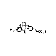 Cc1ccc2c(c1)[C@@H]1CCC[C@@H]1[C@H](c1ccc(CCC(=O)O)cc1)N2